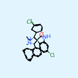 CC[C@@H](C1C=CC=C(Cl)C1)[C@@]1([C@@H](NC)c2cccc3ccccc23)C(=O)Nc2cc(Cl)ccc21